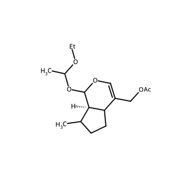 CCOC(C)OC1OC=C(COC(C)=O)C2CCC(C)[C@@H]12